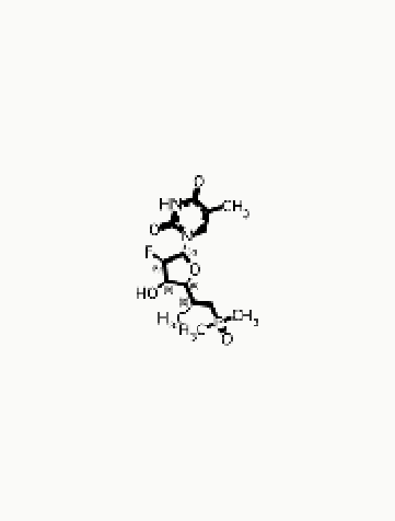 Cc1cn([C@@H]2O[C@H]([C@@H](C)CP(C)(C)=O)[C@@H](O)[C@H]2F)c(=O)[nH]c1=O